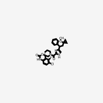 COC1(CC(c2ccccc2)c2c[nH]c(C(=O)N3CCC[C@@]4(C3)OC(=O)Nc3ccc(Cl)c(F)c34)n2)CC1